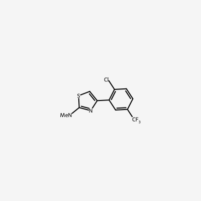 CNc1nc(-c2cc(C(F)(F)F)ccc2Cl)cs1